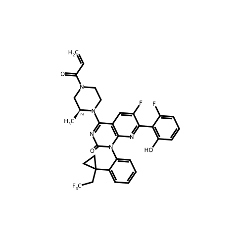 C=CC(=O)N1CCN(c2nc(=O)n(-c3ccccc3C3(CC(F)(F)F)CC3)c3nc(-c4c(O)cccc4F)c(F)cc23)[C@@H](C)C1